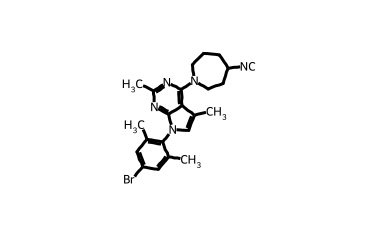 [C-]#[N+]C1CCCN(c2nc(C)nc3c2c(C)cn3-c2c(C)cc(Br)cc2C)CC1